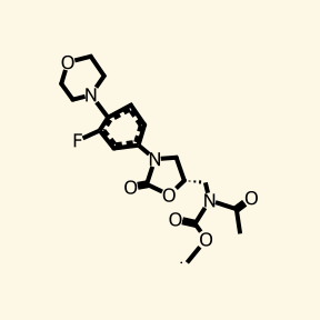 [CH2]OC(=O)N(C[C@H]1CN(c2ccc(N3CCOCC3)c(F)c2)C(=O)O1)C(C)=O